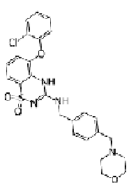 O=S1(=O)N=C(NCc2ccc(CN3CCOCC3)cc2)Nc2c(Oc3ccccc3Cl)cccc21